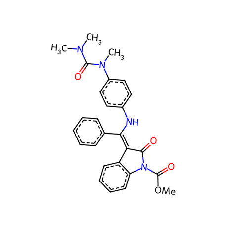 COC(=O)N1C(=O)/C(=C(\Nc2ccc(N(C)C(=O)N(C)C)cc2)c2ccccc2)c2ccccc21